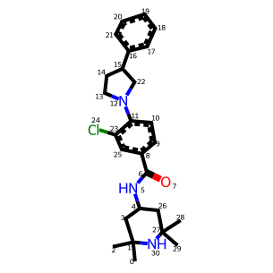 CC1(C)CC(NC(=O)c2ccc(N3CCC(c4ccccc4)C3)c(Cl)c2)CC(C)(C)N1